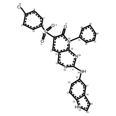 O=c1c(S(=O)(=O)c2ccc(Cl)cc2)cc2cnc(Nc3ccc4[nH]ccc4c3)nc2n1-c1ccccc1